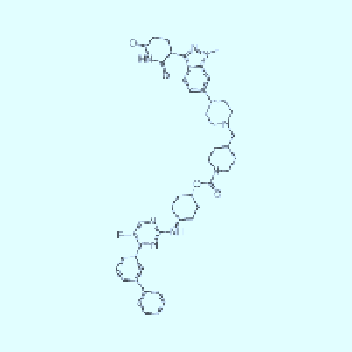 Cn1nc(C2CCC(=O)NC2=O)c2ccc(C3CCN(CC4CCN(C(=O)O[C@H]5CC[C@H](Nc6ncc(F)c(-c7cccc(-c8ccccc8)c7)n6)CC5)CC4)CC3)cc21